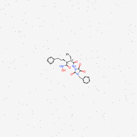 CC(C)C[C@@H](C(=O)NN1C(=O)C(=O)N(Cc2ccccc2)C1=O)[C@H](CCCc1ccccc1)C(=O)NO